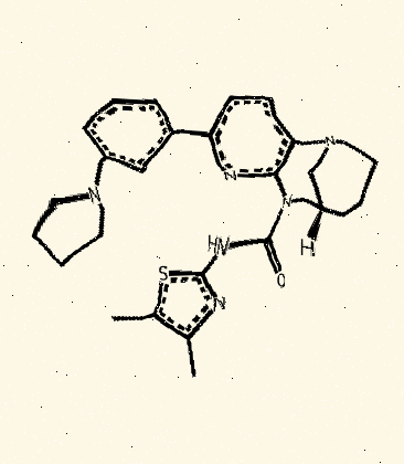 Cc1nc(NC(=O)N2c3nc(-c4cccc(N5CCCC5)c4)ccc3N3CC[C@H]2C3)sc1C